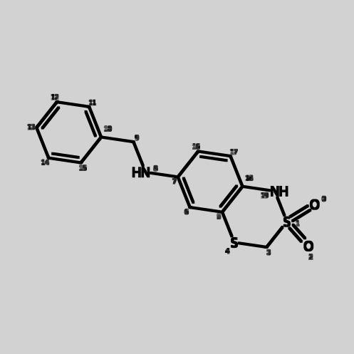 O=S1(=O)CSc2cc(NCc3ccccc3)ccc2N1